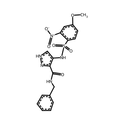 COc1ccc(S(=O)(=O)Nc2c[nH]nc2C(=O)NCc2ccccc2)c([N+](=O)[O-])c1